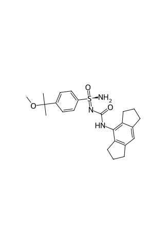 COC(C)(C)c1ccc([S@](N)(=O)=NC(=O)Nc2c3c(cc4c2CCC4)CCC3)cc1